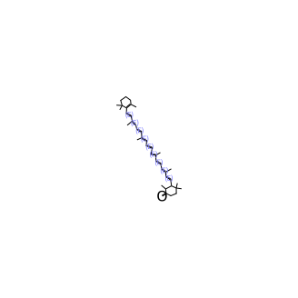 CC1=C(/C=C/C(C)=C/C=C/C(C)=C/C=C/C=C(C)/C=C/C=C(C)/C=C/C2C(C)C(=O)CCC2(C)C)C(C)(C)CCC1